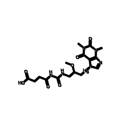 COC(CNC(=O)NC(=O)CCC(=O)O)[CH2][Hg][n]1cnc2c1c(=O)n(C)c(=O)n2C